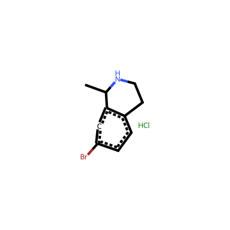 CC1NCCc2ccc(Br)cc21.Cl